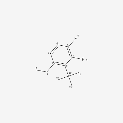 CCc1ccc(F)c(F)c1C(C)(C)C